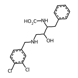 O=C(O)NC(Cc1ccccc1)C(O)CNCc1ccc(Cl)c(Cl)c1